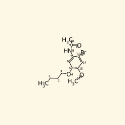 CCCCOc1cc(NC(C)=O)c(Br)cc1OC